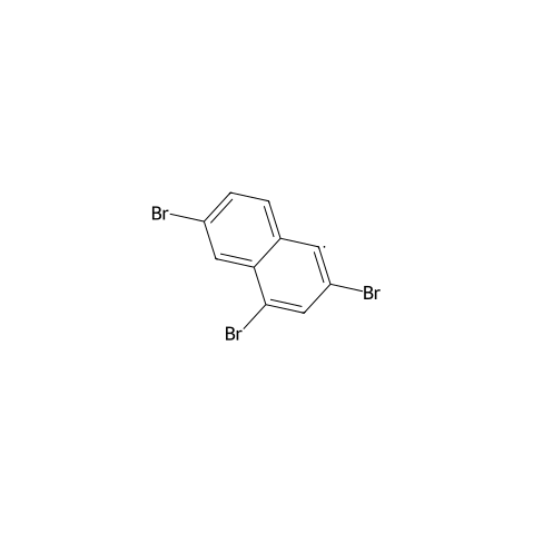 Brc1[c]c2ccc(Br)cc2c(Br)c1